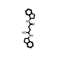 O=C(CCC(O)NC1CCc2ccccc21)NC1CCc2ccccc21